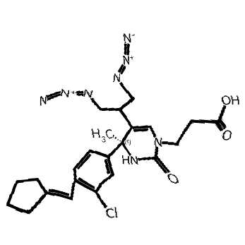 C[C@@]1(c2ccc(C=C3CCCC3)c(Cl)c2)NC(=O)N(CCC(=O)O)C=C1C(CN=[N+]=[N-])CN=[N+]=[N-]